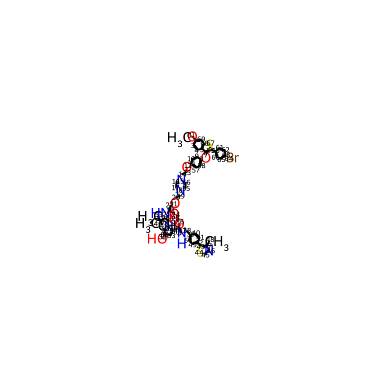 COc1ccc2c(Oc3ccc(OCCN4CCN(CCOCC(=O)NC(C(=O)N5C[C@H](O)C[C@H]5C(=O)NCc5ccc(-c6scnc6C)cc5)C(C)(C)C)CC4)cc3)c(-c3ccc(Br)cc3)sc2c1